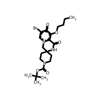 CCCCOc1c2n(cc(Br)c1=O)CC1(CCN(C(=O)OC(C)(C)C)CC1)NC2=O